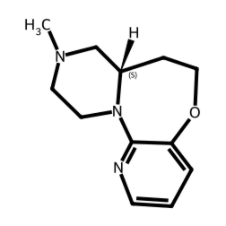 CN1CCN2c3ncccc3OCC[C@H]2C1